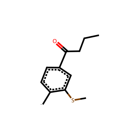 [CH2]c1ccc(C(=O)CCC)cc1SC